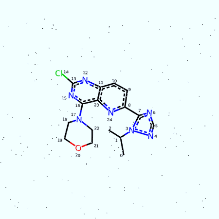 CC(C)n1ncnc1-c1ccc2nc(Cl)nc(N3CCOCC3)c2n1